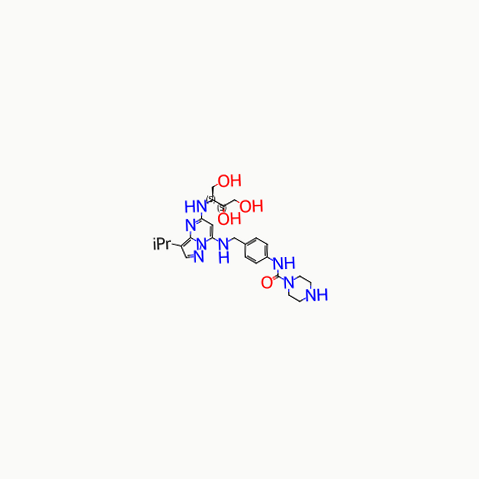 CC(C)c1cnn2c(NCc3ccc(NC(=O)N4CCNCC4)cc3)cc(N[C@@H](CO)[C@H](O)CO)nc12